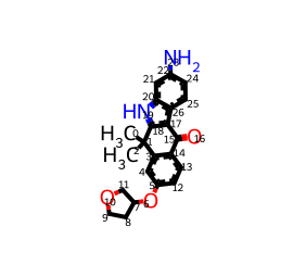 CC1(C)c2cc(OC3CCOC3)ccc2C(=O)c2c1[nH]c1cc(N)ccc21